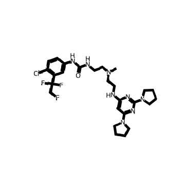 CN(CCNC(=O)Nc1ccc(Cl)c(C(F)(F)CF)c1)CCNc1cc(N2CCCC2)nc(N2CCCC2)n1